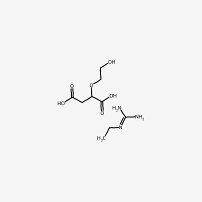 CCN=C(N)N.O=C(O)CC(OCCO)C(=O)O